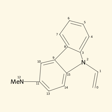 C=Cn1c2ccccc2c2cc(NC)ccc21